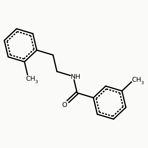 Cc1cccc(C(=O)NCCc2ccccc2C)c1